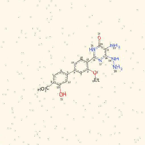 CCOc1cc(-c2ccc(C(=O)O)c(O)c2)ccc1-c1nc(NN)c(N)c(=O)[nH]1